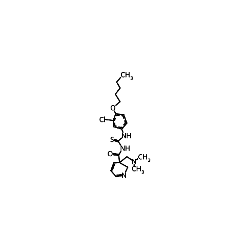 CCCCCOc1ccc(NC(=S)NC(=O)C2(CN(C)C)C=CC=NC2)cc1Cl